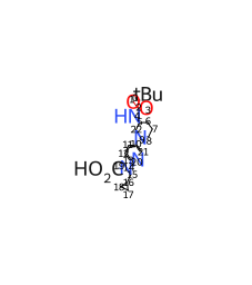 CC(C)(C)OC(=O)N[C@H]1CCCN(c2ccc(N(CC3CC3)C(=O)O)nc2)C1